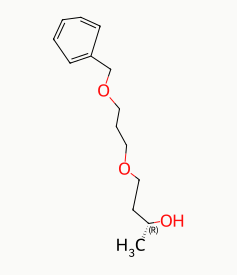 C[C@@H](O)CCOCCCOCc1ccccc1